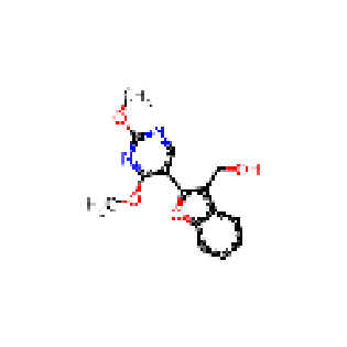 COc1ncc(-c2oc3ccccc3c2CO)c(OC)n1